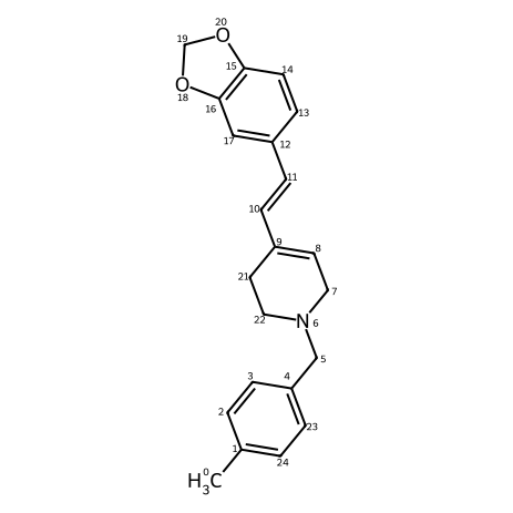 Cc1ccc(CN2CC=C(C=Cc3ccc4c(c3)OCO4)CC2)cc1